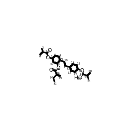 C=C(C)C(=O)Oc1ccc(/C=C/c2ccc(OC(O)C(=C)C)cc2)c(OC(=O)C(=C)CC)c1